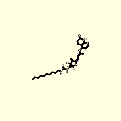 C=C1/C(=C\C=C(/C)Oc2ccnc3c2CCC(=O)N3)O[C@@H]2[C@@H](NC(=O)NCCCCCCCCCC)[C@H]12